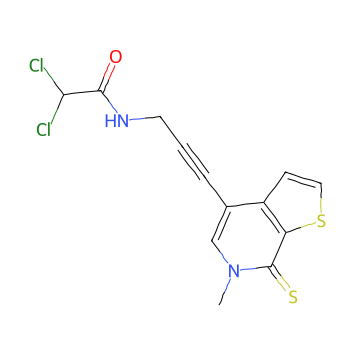 Cn1cc(C#CCNC(=O)C(Cl)Cl)c2ccsc2c1=S